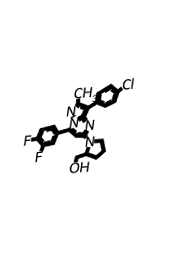 Cc1nn2c(-c3ccc(F)c(F)c3)cc(N3CCCC3CO)nc2c1-c1ccc(Cl)cc1